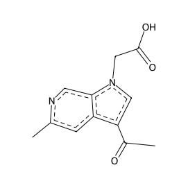 CC(=O)c1cn(CC(=O)O)c2cnc(C)cc12